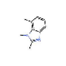 Cc1cccc2nc(C)n(C)c12